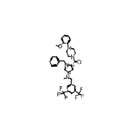 COc1ccccc1N1CCN(C(=O)[C@@H]2C[C@H](N(C)Cc3cc(C(F)(F)F)cc(C(F)(F)F)c3)CN2Cc2ccccc2)CC1